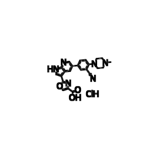 CN1CCN(c2ccc(-c3cnc4[nH]cc(-c5nc(C(=O)O)co5)c4c3)cc2C#N)CC1.Cl